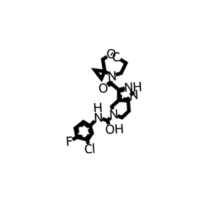 O=C(c1[nH]nc2c1CN(C(O)Nc1ccc(F)c(Cl)c1)CC2)N1CCCOCC12CC2